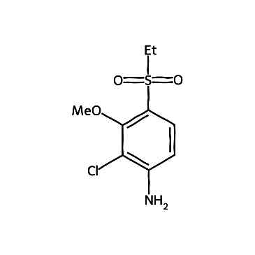 CCS(=O)(=O)c1ccc(N)c(Cl)c1OC